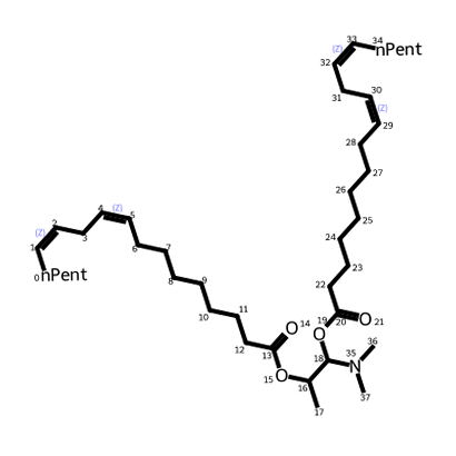 CCCCC/C=C\C/C=C\CCCCCCCC(=O)OC(C)C(OC(=O)CCCCCCC/C=C\C/C=C\CCCCC)N(C)C